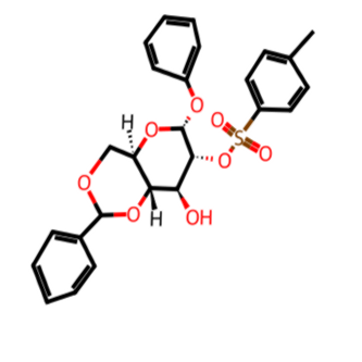 Cc1ccc(S(=O)(=O)O[C@H]2[C@@H](Oc3ccccc3)O[C@@H]3COC(c4ccccc4)O[C@H]3[C@@H]2O)cc1